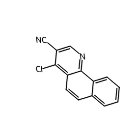 N#Cc1cnc2c(ccc3ccccc32)c1Cl